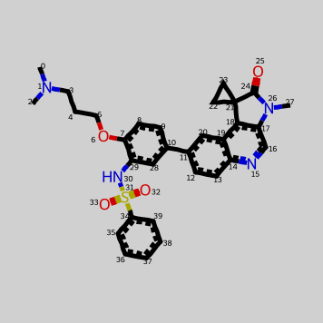 CN(C)CCCOc1ccc(-c2ccc3ncc4c(c3c2)C2(CC2)C(=O)N4C)cc1NS(=O)(=O)c1ccccc1